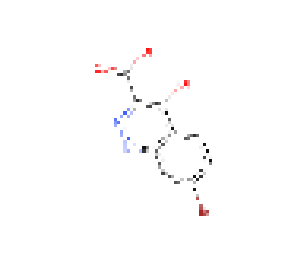 O=C(O)c1nnc2cc(Br)ccc2c1O